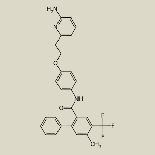 Cc1cc(-c2ccccc2)c(C(=O)Nc2ccc(OCCc3cccc(N)n3)cc2)cc1C(F)(F)F